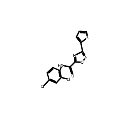 O=C(Nc1ccc(Cl)cc1Cl)c1nc(-c2cccs2)no1